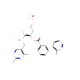 C/C(=C(\CCOP(=O)(O)O)SC(=O)c1ccccc1)N(C=O)Cc1cnc(C)nc1N.O=C(O)c1ccccn1.[Cr]